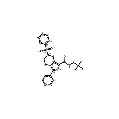 CC(C)(C)CNC(=O)c1nc(-c2ccccc2)n2c1CN(S(=O)(=O)c1ccccc1)CC2